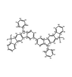 CC1(C)c2ccccc2-c2cc3c4cc(-c5ccc6c(c5)c5cc7c(cc5n6-c5ncccn5)C(C)(C)c5ccccc5-7)ccc4n(-c4ncccn4)c3cc21